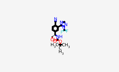 CC(C)(C)OC(=O)N[C@H](CO)c1ccc(C#N)c(-c2ncnn2C(F)F)c1